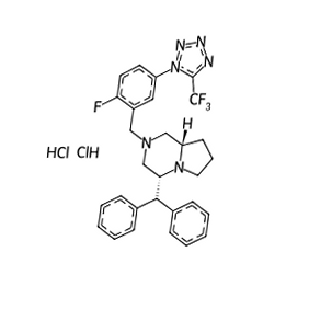 Cl.Cl.Fc1ccc(-n2nnnc2C(F)(F)F)cc1CN1C[C@@H]2CCCN2[C@H](C(c2ccccc2)c2ccccc2)C1